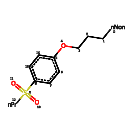 CCCCCCCCCCCCOc1ccc(S(=O)(=O)CCC)cc1